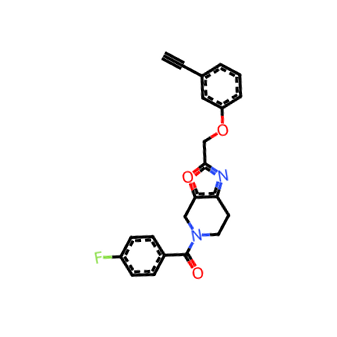 C#Cc1cccc(OCc2nc3c(o2)CN(C(=O)c2ccc(F)cc2)CC3)c1